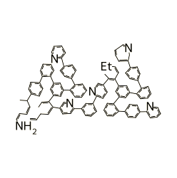 C=CC/C=C(\C(=C/C)c1cc(-c2ccccc2-c2ccc(-c3ccccn3)cc2)cc(-c2ccccc2-c2ccc(C(C)/C=C\C=C/N)cc2)c1)c1ccc(-c2cccc(-c3ccc(/C(C)=C(/C=C\CC)c4cc(-c5ccccc5-c5ccc(C6=CC=CC=NC6)cc5)cc(-c5ccccc5-c5ccc(-c6ccccn6)cc5)c4)cn3)c2)nc1